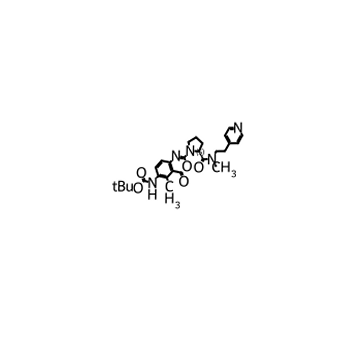 Cc1c(NC(=O)OC(C)(C)C)ccc2nc(N3CCC[C@H]3C(=O)N(C)CCc3ccncc3)oc(=O)c12